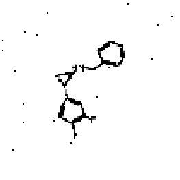 Fc1ccc([C@@H]2CC2NCc2ccccc2)cc1F